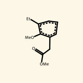 CCc1cccc(CC(=O)OC)c1OC